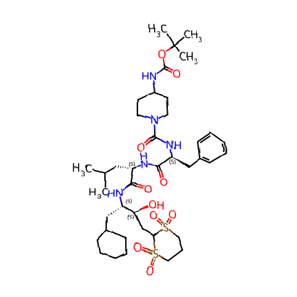 CC(C)C[C@H](NC(=O)[C@H](Cc1ccccc1)NC(=O)N1CCC(NC(=O)OC(C)(C)C)CC1)C(=O)N[C@@H](CC1CCCCC1)[C@@H](O)CC1S(=O)(=O)CCCS1(=O)=O